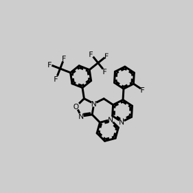 Fc1ccccc1-c1ccncc1CN1C(c2ccccn2)=NOC1c1cc(C(F)(F)F)cc(C(F)(F)F)c1